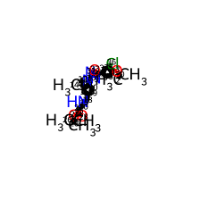 CC(C)Oc1ccc(-c2nc(N3CC(C)c4cc(CNCCC(=O)OC(C)(C)C)ccc43)no2)cc1Cl